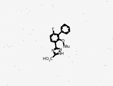 CCCCOc1c(-c2n[nH]c(C(=O)O)n2)ccc(F)c1-c1ccccc1